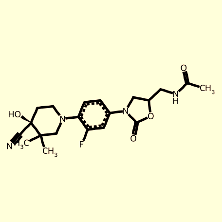 CC(=O)NCC1CN(c2ccc(N3CC[C@@](O)(C#N)C(C)(C)C3)c(F)c2)C(=O)O1